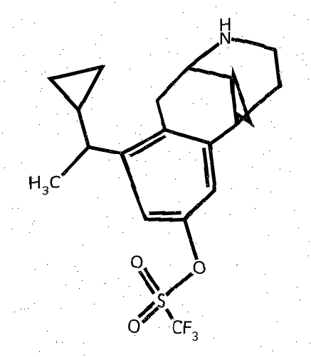 CC(c1cc(OS(=O)(=O)C(F)(F)F)cc2c1CC1NCCC23CCCCC13)C1CC1